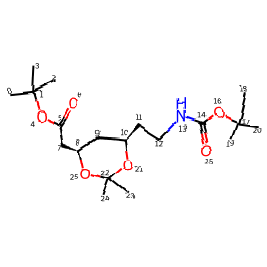 CC(C)(C)OC(=O)C[C@H]1C[C@@H](CCNC(=O)OC(C)(C)C)OC(C)(C)O1